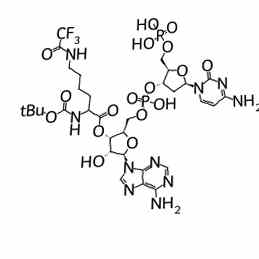 CC(C)(C)OC(=O)NC(CCCCNC(=O)C(F)(F)F)C(=O)O[C@H]1[C@@H](O)[C@H](n2cnc3c(N)ncnc32)O[C@@H]1COP(=O)(O)O[C@H]1C[C@H](n2ccc(N)nc2=O)O[C@@H]1COP(=O)(O)O